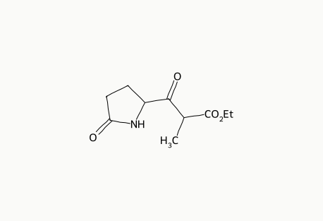 CCOC(=O)C(C)C(=O)C1CCC(=O)N1